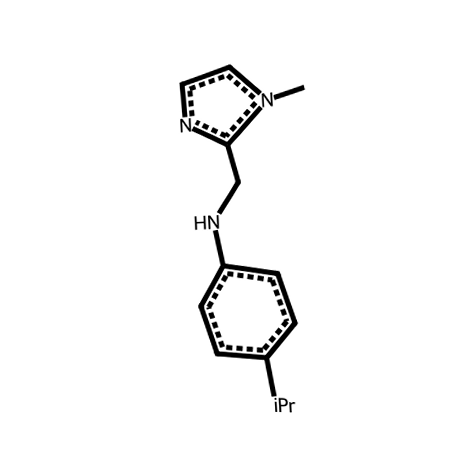 CC(C)c1ccc(NCc2nccn2C)cc1